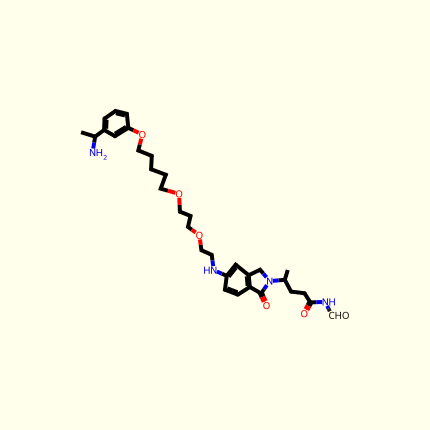 CC(N)c1cccc(OCCCCCOCCCOCCNc2ccc3c(c2)CN(C(C)CCC(=O)NC=O)C3=O)c1